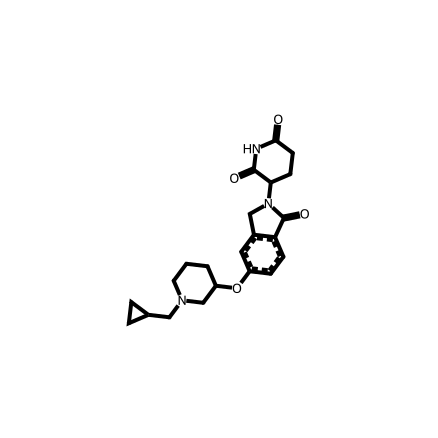 O=C1CCC(N2Cc3cc(OC4CCCN(CC5CC5)C4)ccc3C2=O)C(=O)N1